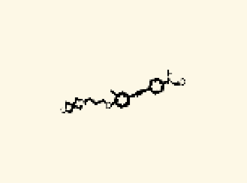 Cc1cc(C#Cc2ccc(NC=O)cc2)ccc1OCCCN1CC2(COC2)C1